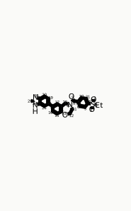 CCS(=O)(=O)c1ccc(C(=O)N2CCOc3ccc(-c4ccc5nc[nH]c5c4)cc3C2)cc1